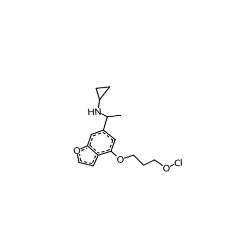 CC(NC1CC1)c1cc(OCCCOCl)c2ccoc2c1